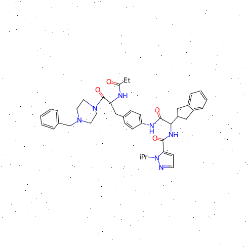 CCC(=O)NC(Cc1ccc(NC(=O)C(NC(=O)c2ccnn2C(C)C)C2Cc3ccccc3C2)cc1)C(=O)N1CCN(Cc2ccccc2)CC1